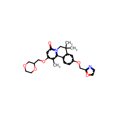 Cc1c(OCC2COCCO2)cc(=O)n2c1-c1ccc(OCc3ncco3)cc1C(C)(C)C2